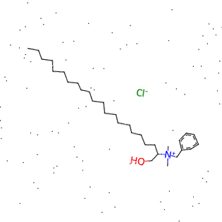 CCCCCCCCCCCCCCCCCCCCC(CO)[N+](C)(C)Cc1ccccc1.[Cl-]